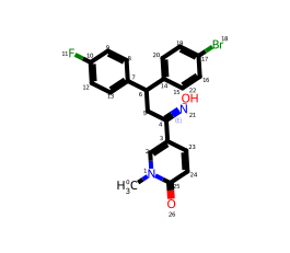 Cn1cc(/C(CC(c2ccc(F)cc2)c2ccc(Br)cc2)=N/O)ccc1=O